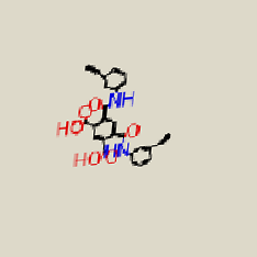 C#Cc1cccc(NC(=O)c2cc(C(=O)Nc3cccc(C#C)c3)c(C(=O)O)cc2C(=O)O)c1